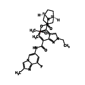 CCn1cc2c(N3C[C@H]4CC[C@@H](C3)N4C(=O)OC(C)(C)C)ccc(C(=O)Nc3cc(F)c4nc(C)cn4c3)c2n1